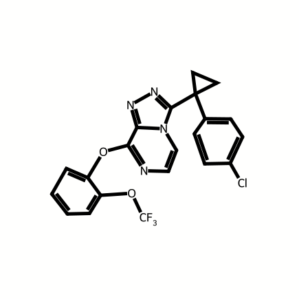 FC(F)(F)Oc1ccccc1Oc1nccn2c(C3(c4ccc(Cl)cc4)CC3)nnc12